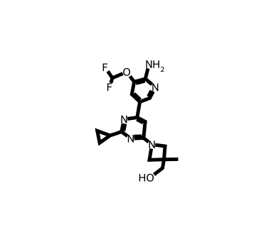 CC1(CO)CN(c2cc(-c3cnc(N)c(OC(F)F)c3)nc(C3CC3)n2)C1